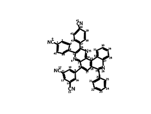 N#Cc1ccc(-c2nc3c(-c4cc(C#N)cc(C#N)c4)cc4c(-c5ccccc5)nc5ccccc5c4c3nc2-c2ccc(C#N)cc2)cc1